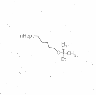 CCCCCCCCCCCCOC(C)(C)CC